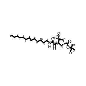 CCCCCCCCCCCCCNC(=O)N[C@@H]1CN(C(=O)OC(C)(C)C)C[C@@H]1OC